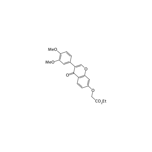 CCOC(=O)COc1ccc2c(=O)c(-c3ccc(OC)c(OC)c3)coc2c1